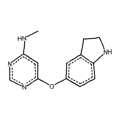 CNc1cc(Oc2ccc3c(c2)CCN3)ncn1